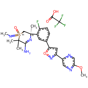 CN=[S@@]1(=O)C[C@@](C)(c2cc(-c3cc(-c4cnc(OC)cn4)no3)ccc2F)N=C(N)C1(C)C.O=C(O)C(F)(F)F